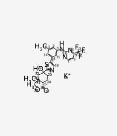 Cc1cc(Nc2nccc(C(F)(F)F)n2)cc(-c2cnc([C@@]3(O)CC[C@H](C(=O)[O-])C(C)(C)C3)s2)c1.[K+]